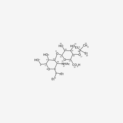 CCC(CC)C1OC(CO)C(O)C(OC2OC(C(=O)O)C(OC(C)(CC)CC)C(O)C2O)C1NC(C)=O